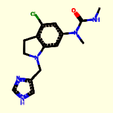 CNC(=O)N(C)c1cc(Cl)c2c(c1)N(Cc1c[nH]cn1)CC2